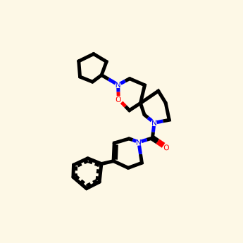 O=C(N1CC=C(c2ccccc2)CC1)N1CCCC2(CCN(C3CCCCC3)OC2)C1